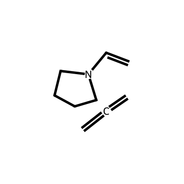 C=C=C.C=CN1CCCC1